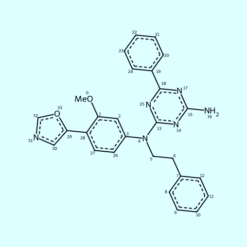 COc1cc(N(CCc2ccccc2)c2nc(N)nc(-c3ccccc3)n2)ccc1-c1cnco1